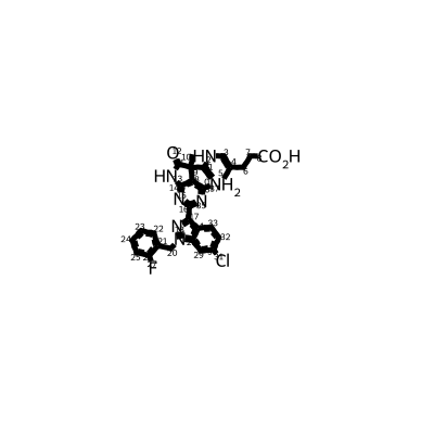 C=C(N/C=C(\C)CCC(=O)O)C1(C)C(=O)Nc2nc(-c3nn(Cc4ccccc4F)c4cc(Cl)ccc34)nc(N)c21